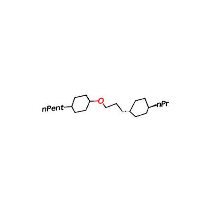 CCCCCC1CCC(OCCC[C@H]2CC[C@H](CCC)CC2)CC1